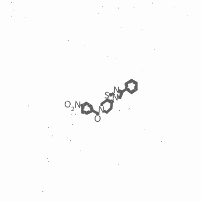 O=C(c1ccc([N+](=O)[O-])cc1)N1CCc2c(sc3nc(-c4ccccc4)cn23)C1